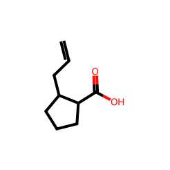 C=CCC1CCCC1C(=O)O